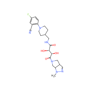 CN1N=CC2CN(C(=O)[C@H](O)[C@@H](O)C(=O)NCC3CCN(c4ccc(F)cc4C#N)CC3)CC21